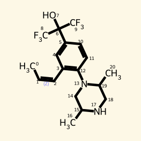 C/C=C\c1cc(C(O)(C(F)(F)F)C(F)(F)F)ccc1N1CC(C)NCC1C